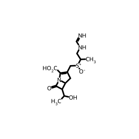 CC(O)C1C(=O)N2C(C(=O)O)=C(C[S+]([O-])C(C)CNC=N)CC12